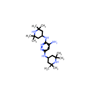 CC1(C)CC(Nc2cc(N)c(NC3CC(C)(C)NC(C)(C)C3)nn2)CC(C)(C)N1